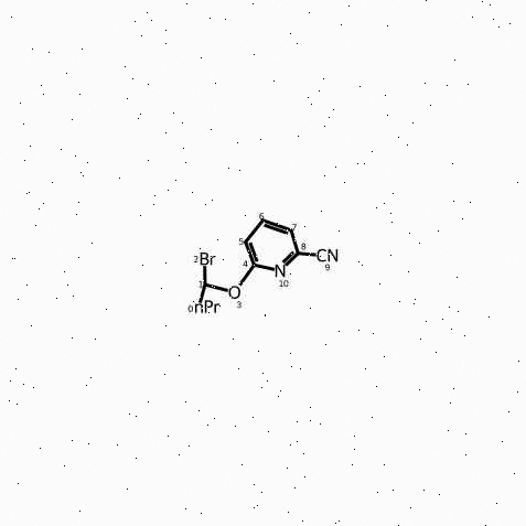 CCCC(Br)Oc1cccc(C#N)n1